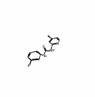 Cc1ccnc(NC(=S)Nc2cccc(F)c2)c1